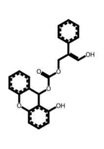 O=C(OCC(=CO)c1ccccc1)OC1c2ccccc2Oc2cccc(O)c21